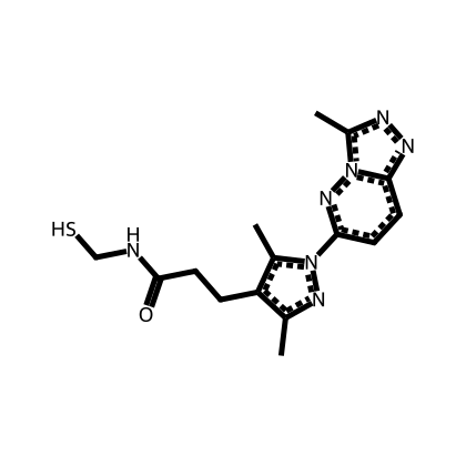 Cc1nn(-c2ccc3nnc(C)n3n2)c(C)c1CCC(=O)NCS